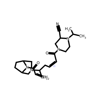 C=CC(=O)N1C2CCC1CN(C(C)C/C=C\C(=O)N1CCN(C(C)C)C(C#N)C1)C2